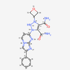 NC(=O)C1=C(C(N)=O)N(C2COC2)NN1c1ccn2cc(-c3ccccc3)nc2n1